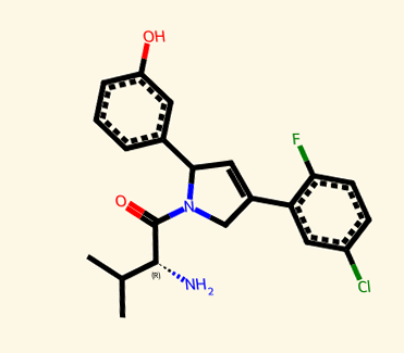 CC(C)[C@@H](N)C(=O)N1CC(c2cc(Cl)ccc2F)=CC1c1cccc(O)c1